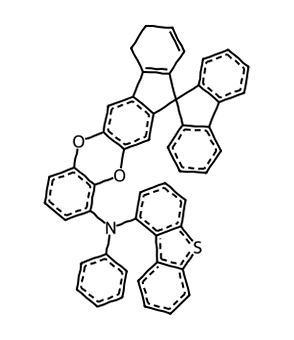 C1=CC2=C(CC1)c1cc3c(cc1C21c2ccccc2-c2ccccc21)Oc1c(cccc1N(c1ccccc1)c1cccc2sc4ccccc4c12)O3